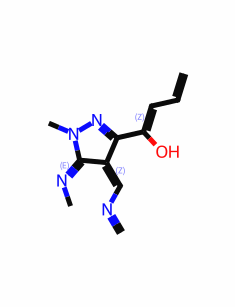 C=C/C=C(\O)C1=NN(C)C(=N/C)/C1=C\N=C